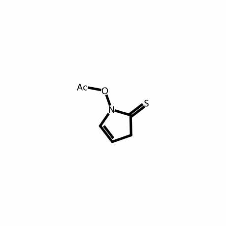 CC(=O)ON1C=CCC1=S